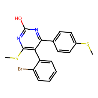 CSc1ccc(-c2nc(O)nc(SC)c2-c2ccccc2Br)cc1